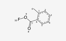 Cc1ccccc1C(=O)OF